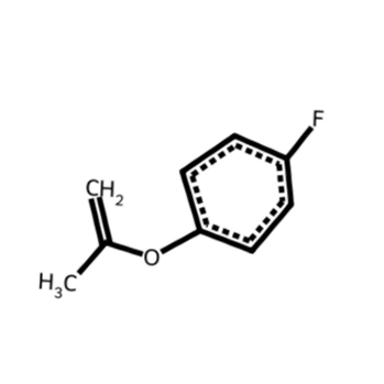 C=C(C)Oc1ccc(F)cc1